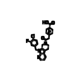 O=C(CC12CCC(C(=O)O)(CC1)CC2)N1CCc2c(n(Cc3ccc(Cl)c(F)c3)c3ncccc23)C1